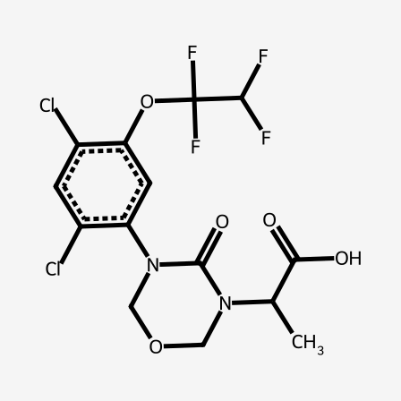 CC(C(=O)O)N1COCN(c2cc(OC(F)(F)C(F)F)c(Cl)cc2Cl)C1=O